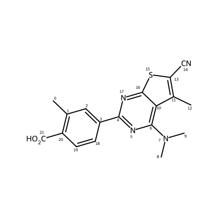 Cc1cc(-c2nc(N(C)C)c3c(C)c(C#N)sc3n2)ccc1C(=O)O